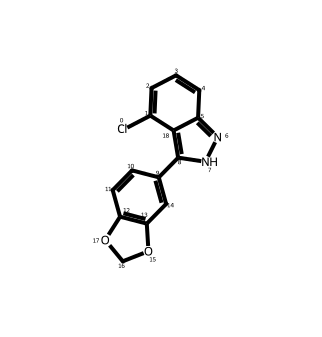 Clc1cccc2n[nH]c(-c3ccc4c(c3)OCO4)c12